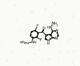 CCCCCNc1ccc(F)c(C(=O)c2c[nH]c3ncnc(NN)c23)c1F